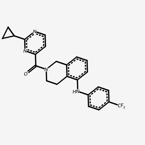 O=C(c1ccnc(C2CC2)n1)N1CCc2c(cccc2Nc2ccc(C(F)(F)F)cc2)C1